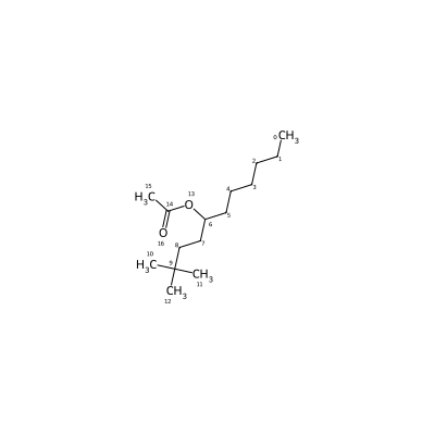 CCCCCCC(CCC(C)(C)C)OC(C)=O